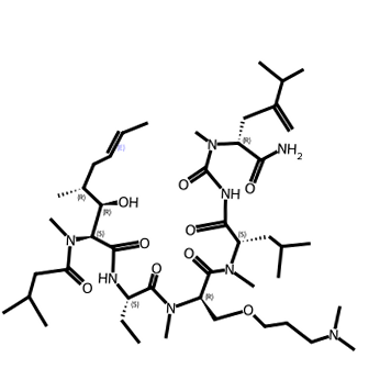 C=C(C[C@H](C(N)=O)N(C)C(=O)NC(=O)[C@H](CC(C)C)N(C)C(=O)[C@@H](COCCCN(C)C)N(C)C(=O)[C@H](CC)NC(=O)[C@H]([C@H](O)[C@H](C)C/C=C/C)N(C)C(=O)CC(C)C)C(C)C